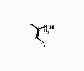 [CH2]C(N)=CC(C)=O.[Ni]